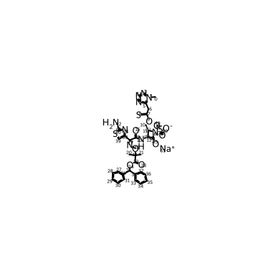 Cn1nnnc1CC(=S)OC[C@@H]1[C@H](NC(=O)C(=NOC(C)(C)C(=O)OC(c2ccccc2)c2ccccc2)c2csc(N)n2)C(=O)N1S(=O)(=O)[O-].[Na+]